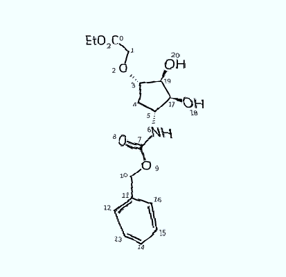 CCOC(=O)CO[C@H]1C[C@@H](NC(=O)OCc2ccccc2)[C@H](O)[C@@H]1O